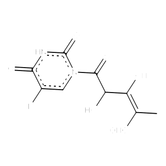 C/C(C=O)=C(\O)C(O)C(=O)n1cc(F)c(=O)[nH]c1=O